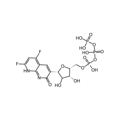 O=c1nc2[nH]c(F)cc(F)c-2cc1[C@@H]1O[C@H](COP(=O)(O)OP(=O)(O)OP(=O)(O)O)[C@H](O)C1O